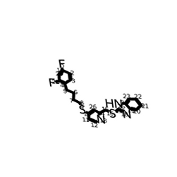 Fc1ccc(CCCCSc2ccnc(CSc3nc4ccccc4[nH]3)c2)c(F)c1